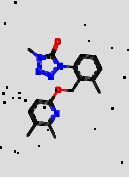 Cc1ccc(OCc2c(C)cccc2-n2nnn(C)c2=O)nc1C